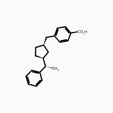 C[C@H](c1ccccc1)[C@H]1CC[C@@H](Cc2ccc(C(=O)O)cc2)C1